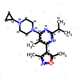 Cc1noc(C)c1-c1nc(C(C)C)nc(N2CCN(C3CC3)CC2)c1C